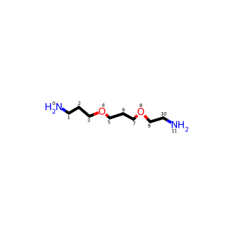 NCCCOCCCOCCN